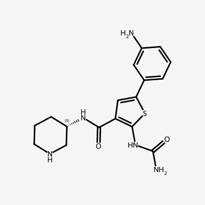 NC(=O)Nc1sc(-c2cccc(N)c2)cc1C(=O)N[C@H]1CCCNC1